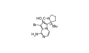 CC(C)(C)[C@]1(c2nc(Br)c3c(N)nccn23)CCCN1C(=O)O